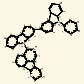 C1=CC2c3cc(-c4ccc5c6ccccc6n(-c6ncc7c8c(cccc68)-c6ncccc6-7)c5c4)ccc3N(c3ccccc3)C2C=C1